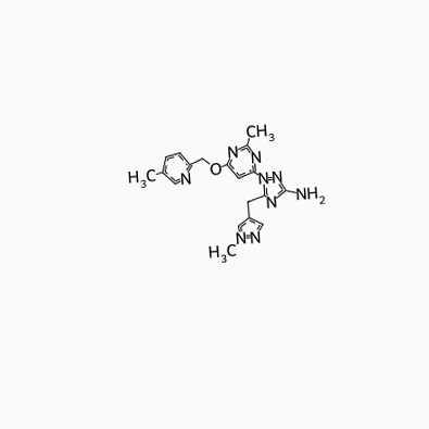 Cc1ccc(COc2cc(-n3nc(N)nc3Cc3cnn(C)c3)nc(C)n2)nc1